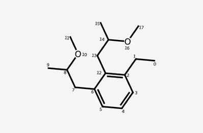 CCc1cccc(CC(C)OC)c1CC(C)OC